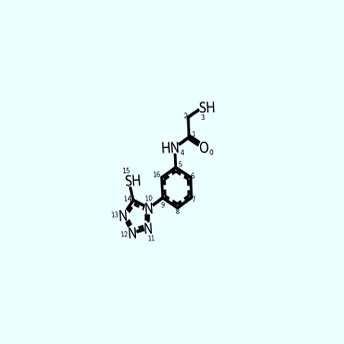 O=C(CS)Nc1cccc(-n2nnnc2S)c1